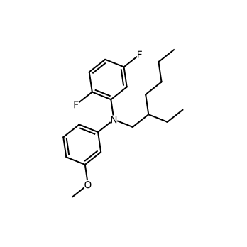 CCCCC(CC)CN(c1cccc(OC)c1)c1cc(F)ccc1F